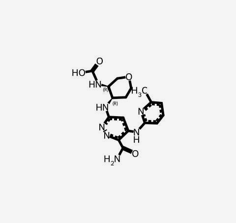 Cc1cccc(Nc2cc(N[C@@H]3CCOC[C@@H]3NC(=O)O)nnc2C(N)=O)n1